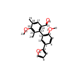 COc1ccc(-c2ccco2)cc1-c1c(C=O)cc(C)c(OC)c1C